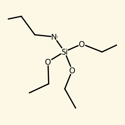 CCC[N][Si](OCC)(OCC)OCC